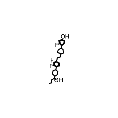 CCCC(O)C1CCC(c2ccc(CCC3CCC(c4ccc(O)cc4F)CC3)c(F)c2F)CC1